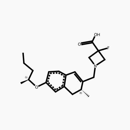 CCC[C@H](C)Oc1ccc2c(c1)C[C@@H](C)C(CN1CC(F)(C(=O)O)C1)=C2